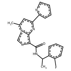 Cc1cc(-c2ccccn2)nc2c(C(=O)NC(C)c3ccccc3F)ncn12